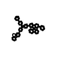 c1ccc(-c2ccc(N(c3ccc(-c4ccc5c(c4)C4(c6ccccc6-c6ccccc64)c4cc(-c6ccccc6)ccc4-5)cc3)c3ccc(-c4ccc5c(c4)oc4ccccc45)cc3)cc2)cc1